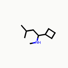 CNC(CC(C)C)C1CCC1